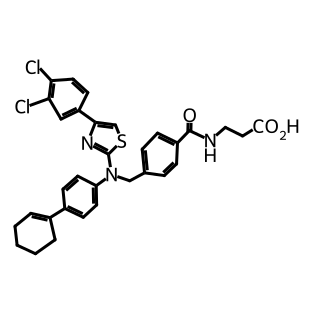 O=C(O)CCNC(=O)c1ccc(CN(c2ccc(C3=CCCCC3)cc2)c2nc(-c3ccc(Cl)c(Cl)c3)cs2)cc1